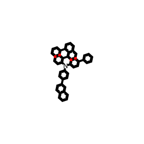 c1ccc(-c2ccc(N(c3ccc(-c4ccc5ccccc5c4)cc3)c3ccccc3-c3cccc4cccc(-c5ccccc5)c34)cc2)cc1